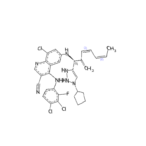 C=C(/C=C\C=C/C)[C@H](Nc1cc(Cl)c2ncc(C#N)c(Nc3ccc(Cl)c(Cl)c3F)c2c1)C1=CN(C2CCCC2)NN1